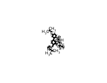 CC(C)CSc1ccc(S(=O)(=O)NC(=O)OC(=O)C(F)(F)F)c(-c2ccc(Cn3ccnc3C(C)C)c(F)c2)c1